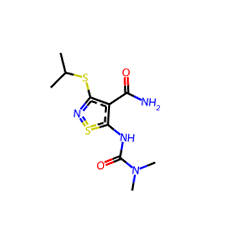 CC(C)Sc1nsc(NC(=O)N(C)C)c1C(N)=O